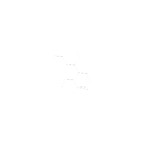 CCCC(CC)c1ccnc(C)c1C=O